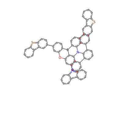 c1ccc(-c2cccc(-c3ccccc3)c2N2c3cc(-c4ccc5sc6ccccc6c5c4)ccc3B3c4ccc(-c5ccc6sc7ccccc7c6c5)cc4Oc4cc(-n5c6ccccc6c6ccccc65)cc2c43)cc1